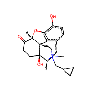 C[N@@+]1(CC2CC2)CC[C@]23c4c5ccc(O)c4O[C@H]2C(=O)CC[C@@]3(O)[C@H]1C5